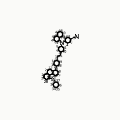 N#Cc1ccc(N(c2ccc(/C=C/c3ccc(-c4ccc5c6c4ccc4cccc(c46)n5-c4ccccc4)cc3)cc2)c2cccc3ccccc23)cc1